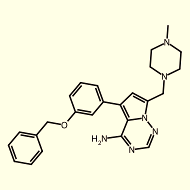 CN1CCN(Cc2cc(-c3cccc(OCc4ccccc4)c3)c3c(N)ncnn23)CC1